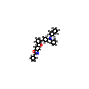 c1ccc(-c2nc3cc4oc5c(-c6ccc(N(c7ccccc7)c7ccc8ccccc8c7)cc6)cccc5c4cc3o2)cc1